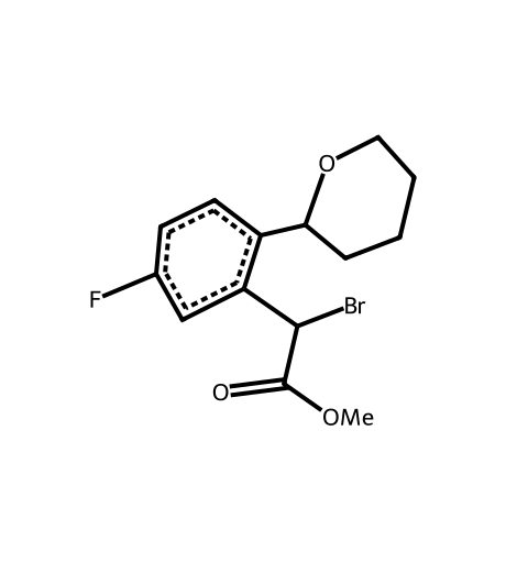 COC(=O)C(Br)c1cc(F)ccc1C1CCCCO1